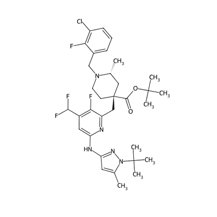 Cc1cc(Nc2cc(C(F)F)c(F)c(C[C@@]3(C(=O)OC(C)(C)C)CCN(Cc4cccc(Cl)c4F)[C@H](C)C3)n2)nn1C(C)(C)C